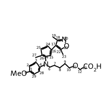 COc1ccc(N(CCCCCOCC(=O)O)c2cc(-c3c(C)noc3C)ccc2C)cc1